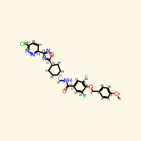 COc1ccc(COc2c(F)cc(C(=O)NC[C@H]3CC[C@H](c4nc(-c5ccc(Cl)nn5)no4)CC3)cc2F)cc1